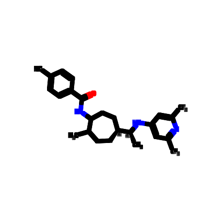 CC1CC[C@H]([C@H](C)Nc2cc(C(F)(F)F)nc(C(F)(F)F)c2)CCC1NC(=O)c1ccc(C#N)cc1